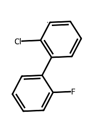 Fc1ccccc1-c1ccc[c]c1Cl